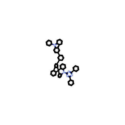 c1ccc(-c2nc(-c3ccccc3)nc(N3c4ccccc4C4(c5ccccc5-c5ccc(-c6cccc(-c7ccc8c(c7)c7ccccc7n8-c7ccccc7)c6)cc54)c4ccccc43)n2)cc1